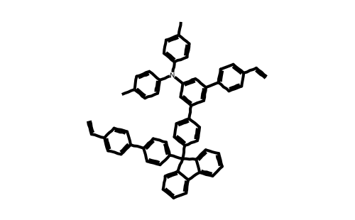 C=Cc1ccc(-c2ccc(C3(c4ccc(-c5cc(-c6ccc(C=C)cc6)cc(N(c6ccc(C)cc6)c6ccc(C)cc6)c5)cc4)c4ccccc4-c4ccccc43)cc2)cc1